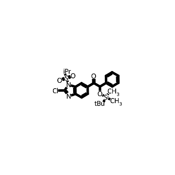 CC(C)S(=O)(=O)n1c(Cl)nc2ccc(C(=O)C(O[Si](C)(C)C(C)(C)C)c3ccccc3)cc21